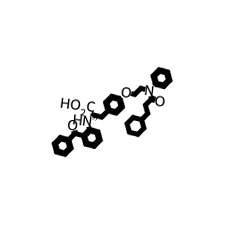 O=C(c1ccccc1)c1ccccc1N[C@@H](Cc1ccc(OCCN(C(=O)CCC2CCCCC2)c2ccccc2)cc1)C(=O)O